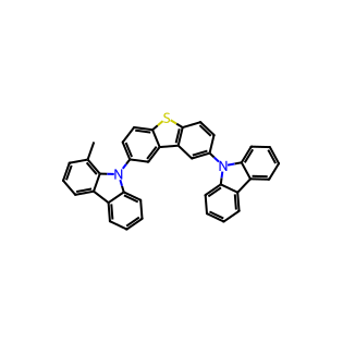 Cc1cccc2c3ccccc3n(-c3ccc4sc5ccc(-n6c7ccccc7c7ccccc76)cc5c4c3)c12